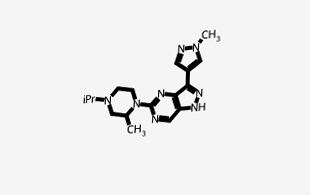 CC(C)N1CCN(c2ncc3[nH]nc(-c4cnn(C)c4)c3n2)C(C)C1